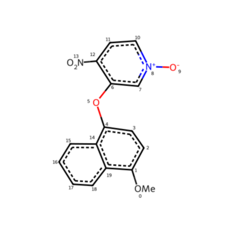 COc1ccc(Oc2c[n+]([O-])ccc2[N+](=O)[O-])c2ccccc12